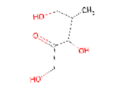 CC(CO)C(O)C(=O)CO